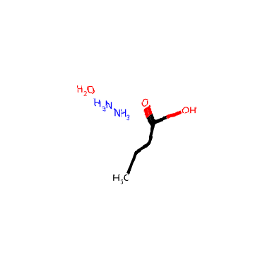 CCCC(=O)O.N.N.O